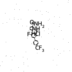 Cl.NC(=O)c1ccc(-c2c(F)cc(-c3ccc(C(F)(F)F)cc3)cc2F)[nH]1